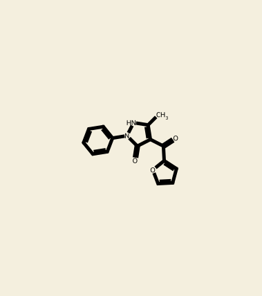 Cc1[nH]n(-c2ccccc2)c(=O)c1C(=O)c1ccco1